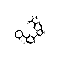 CC1CCCCN1c1ccnc(-c2cnc3cnc(C(N)=O)cn23)n1